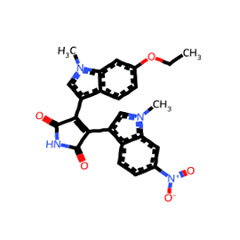 CCOc1ccc2c(C3=C(c4cn(C)c5cc([N+](=O)[O-])ccc45)C(=O)NC3=O)cn(C)c2c1